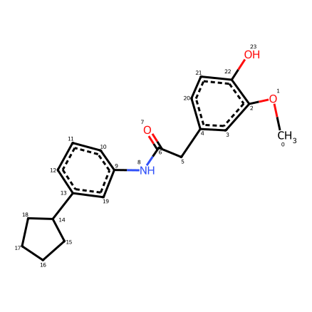 COc1cc(CC(=O)Nc2cccc(C3CCCC3)c2)ccc1O